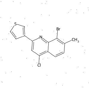 Cc1ccc2c(Cl)cc(-c3ccsc3)nc2c1Br